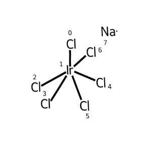 [Cl][Ir]([Cl])([Cl])([Cl])([Cl])[Cl].[Na]